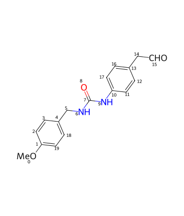 COc1ccc(CNC(=O)Nc2ccc(CC=O)cc2)cc1